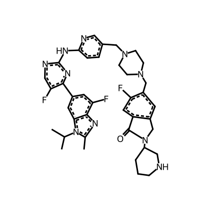 Cc1nc2c(F)cc(-c3nc(Nc4ccc(CN5CCN(Cc6cc7c(cc6F)C(=O)N(C6CCCNC6)C7)CC5)cn4)ncc3F)cc2n1C(C)C